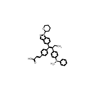 CC/C(=C(/c1ccc(/C=C/C(=O)O)cc1)c1ccc2c(cnn2C2CCCCO2)c1)c1ccc(N(C)c2ccccc2)cc1